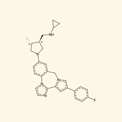 C[C@H]1CN(c2ccc3c(c2)Cn2cc(-c4ccc(F)cc4)cc2-c2nccn2-3)C[C@@H]1CNC1CC1